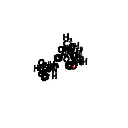 CCC1(CC)C(=O)NC(=O)N(c2ccccc2)C1=O.CCC1(c2ccccc2)C(=O)NCNC1=O.O=C1NC(=O)C(CC2CCCCN2)(c2ccccc2)C(=O)N1